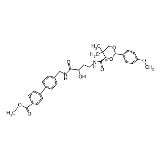 COC(=O)c1ccc(-c2ccc(CNC(=O)C(O)CCNC(=O)[C@@H]3OC(c4ccc(OC)cc4)OCC3(C)C)cc2)cc1